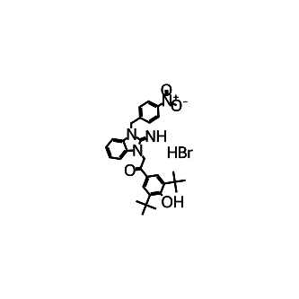 Br.CC(C)(C)c1cc(C(=O)Cn2c(=N)n(Cc3ccc([N+](=O)[O-])cc3)c3ccccc32)cc(C(C)(C)C)c1O